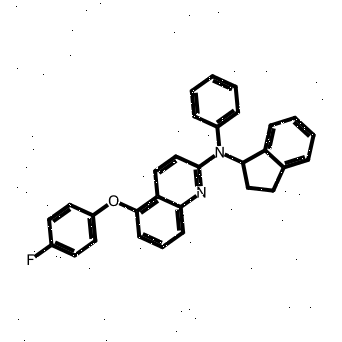 Fc1ccc(Oc2cccc3nc(N(c4ccccc4)C4CCc5ccccc54)ccc23)cc1